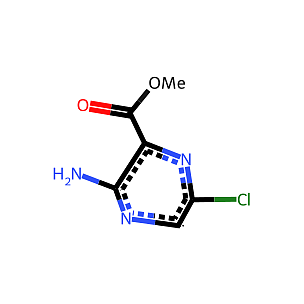 COC(=O)c1nc(Cl)[c]nc1N